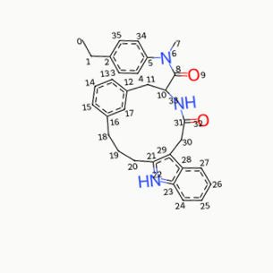 CCc1ccc(N(C)C(=O)C2Cc3cccc(c3)CCCc3[nH]c4ccccc4c3CC(=O)N2)cc1